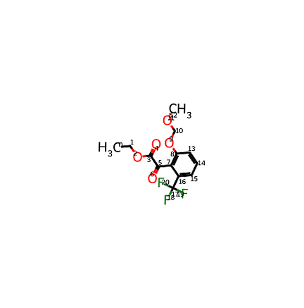 CCOC(=O)C(=O)c1c(OCOC)cccc1C(F)(F)F